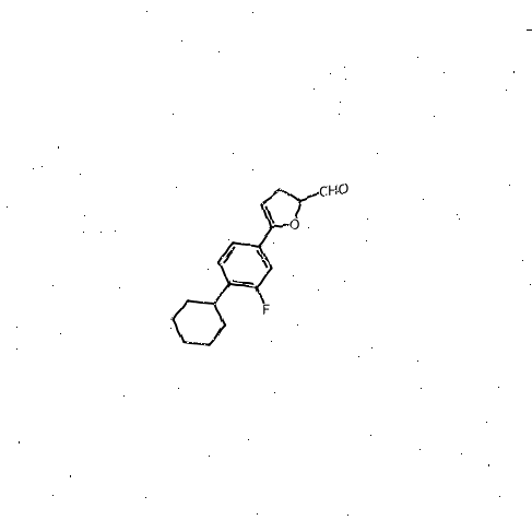 O=CC1CC=C(c2ccc(C3CCCCC3)c(F)c2)O1